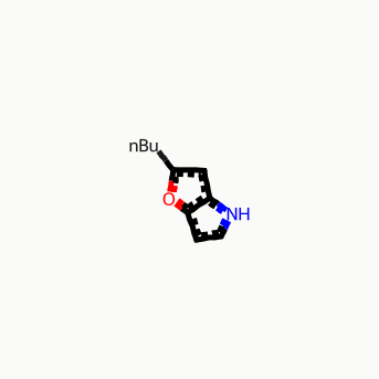 CCCCc1cc2[nH]ccc2o1